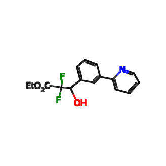 CCOC(=O)C(F)(F)C(O)c1cccc(-c2ccccn2)c1